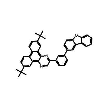 CC(C)(C)c1ccc2c3ccc(C(C)(C)C)cc3c3nc(-c4cccc(-c5ccc6oc7ccccc7c6c5)c4)cnc3c2c1